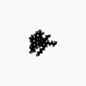 C=CCOc1c(CCCCC)cc(CCCCC)cc1[Si](CC)(CC)C1C2=CC(C)(C)CCC2=C2C1=c1ccc(C(C)(C)C)cc1=CC2(C)C